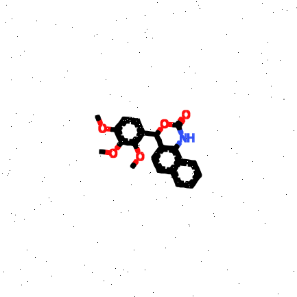 COc1ccc(C2OC(=O)Nc3c2ccc2ccccc32)c(OC)c1OC